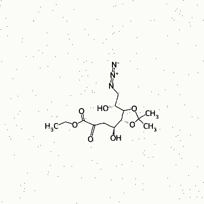 CCOC(=O)C(=O)C[C@H](O)[C@H]1OC(C)(C)OC1[C@H](O)CN=[N+]=[N-]